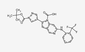 CC(C)(C)OC(=O)n1cc(-c2cc3cnc(Nc4ccccc4C(F)(F)F)cc3n2C(=O)O)cn1